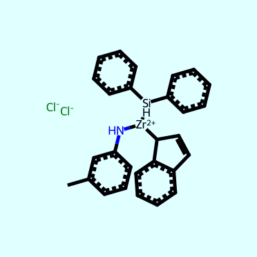 Cc1cccc([NH][Zr+2]([CH]2C=Cc3ccccc32)[SiH](c2ccccc2)c2ccccc2)c1.[Cl-].[Cl-]